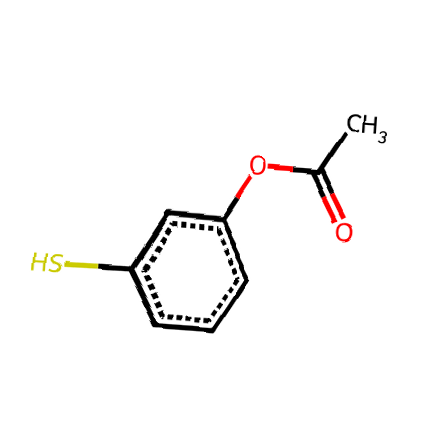 CC(=O)Oc1cccc(S)c1